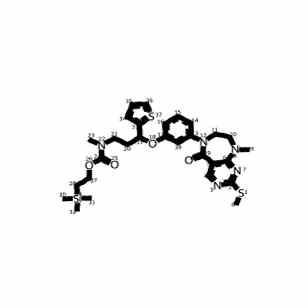 CSc1ncc2c(n1)N(C)CCN(c1cccc(OC(CCN(C)C(=O)OCC[Si](C)(C)C)c3cccs3)c1)C2=O